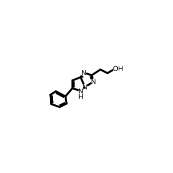 OCCc1nc2cc(-c3ccccc3)[nH]n2n1